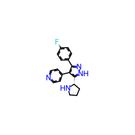 Fc1ccc(-c2n[nH]c([C@@H]3CCCN3)c2-c2ccncc2)cc1